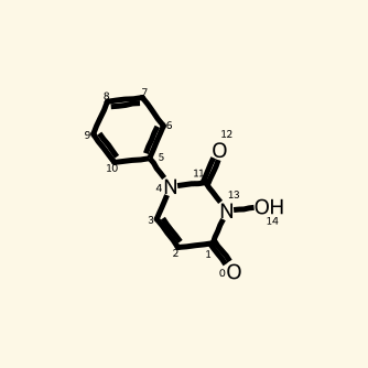 O=c1ccn(-c2ccccc2)c(=O)n1O